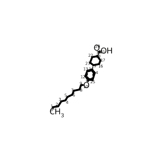 CCCCCCCCCCOc1ccc([C@H]2CC[C@H](C(=O)O)CC2)cc1